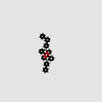 C1=CC(N(c2ccccc2)c2ccc(-c3ccccc3)cc2)=C(C2=CC=C(c3ccccc3N(c3ccccc3)c3ccc(-c4cccc(-c5ccccc5)c4)cc3)CC2)CC1